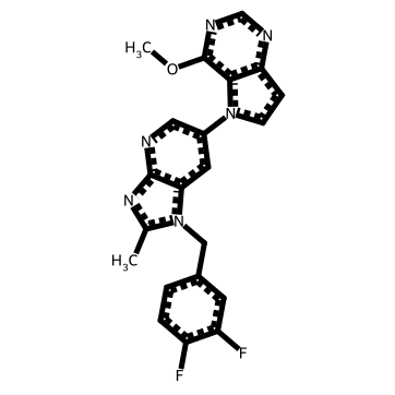 COc1ncnc2ccn(-c3cnc4nc(C)n(Cc5ccc(F)c(F)c5)c4c3)c12